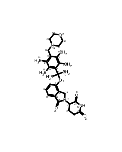 Bc1c(B)c(C(B)(B)Oc2cccc3c2CN(C2CCC(=O)NC2=O)C3=O)c(B)c(B)c1CN1CCOCC1